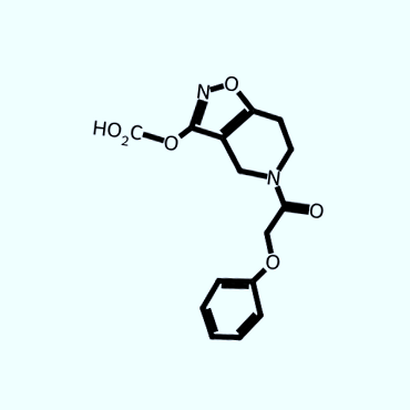 O=C(O)Oc1noc2c1CN(C(=O)COc1ccccc1)CC2